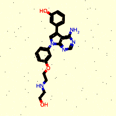 Nc1ncnc2c1c(-c1cccc(O)c1)cn2-c1cccc(OCCNCCO)c1